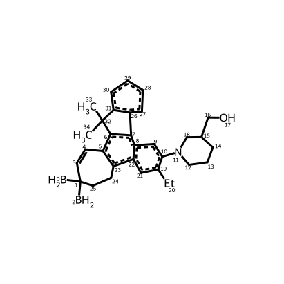 BC1(B)C=Cc2c3c(c4cc(N5CCCC(CO)C5)c(CC)cc4c2CC1)-c1ccccc1C3(C)C